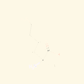 BCCCCC(C)(N)C(=O)O